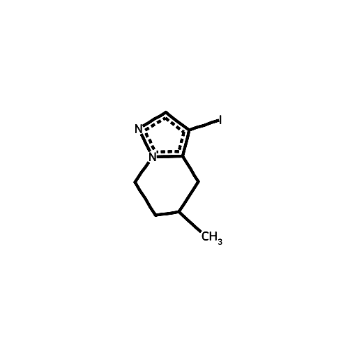 CC1CCn2ncc(I)c2C1